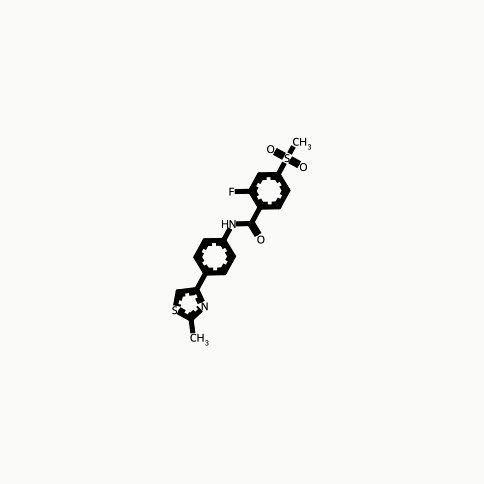 Cc1nc(-c2ccc(NC(=O)c3ccc(S(C)(=O)=O)cc3F)cc2)cs1